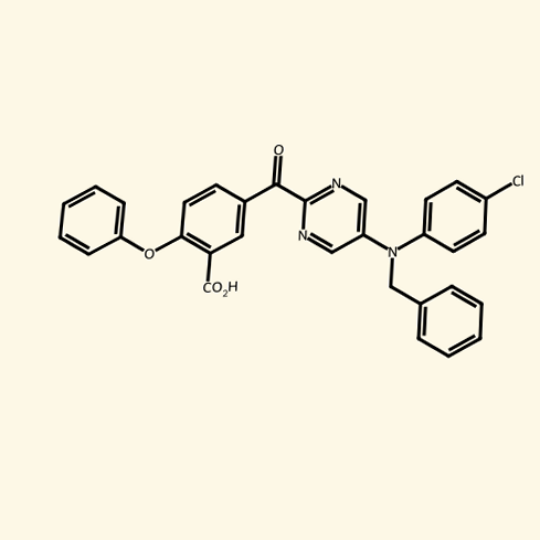 O=C(c1ccc(Oc2ccccc2)c(C(=O)O)c1)c1ncc(N(Cc2ccccc2)c2ccc(Cl)cc2)cn1